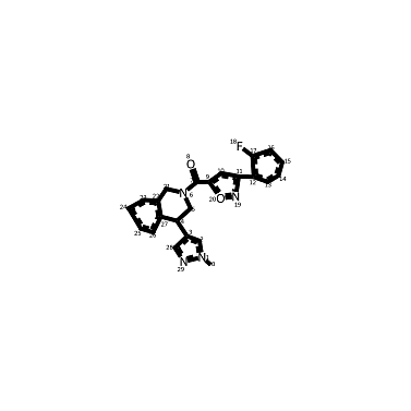 Cn1cc(C2CN(C(=O)c3cc(-c4ccccc4F)no3)Cc3ccccc32)cn1